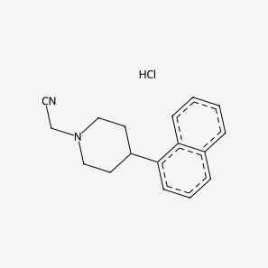 Cl.N#CCN1CCC(c2cccc3ccccc23)CC1